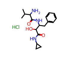 CC(C)C(N)C(=O)NC(Cc1ccccc1)C(O)C(=O)NC1CC1.Cl